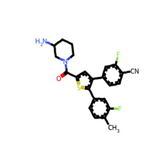 Cc1ccc(-c2sc(C(=O)N3CCCC(N)C3)cc2-c2ccc(C#N)c(F)c2)cc1F